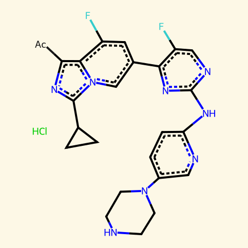 CC(=O)c1nc(C2CC2)n2cc(-c3nc(Nc4ccc(N5CCNCC5)cn4)ncc3F)cc(F)c12.Cl